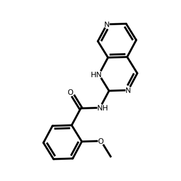 COc1ccccc1C(=O)NC1N=Cc2ccncc2N1